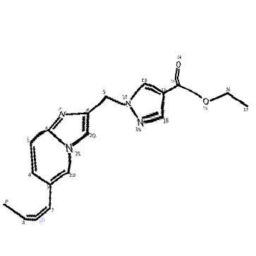 C/C=C\c1ccc2nc(Cn3cc(C(=O)OCC)cn3)cn2c1